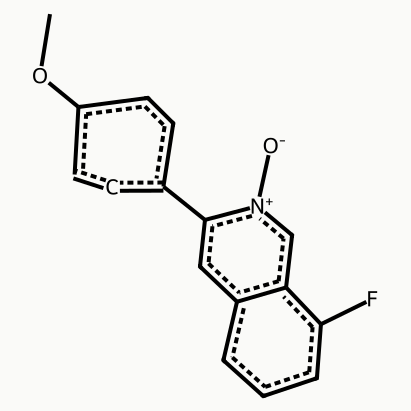 COc1ccc(-c2cc3cccc(F)c3c[n+]2[O-])cc1